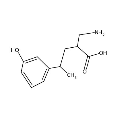 CC(CC(CN)C(=O)O)c1cccc(O)c1